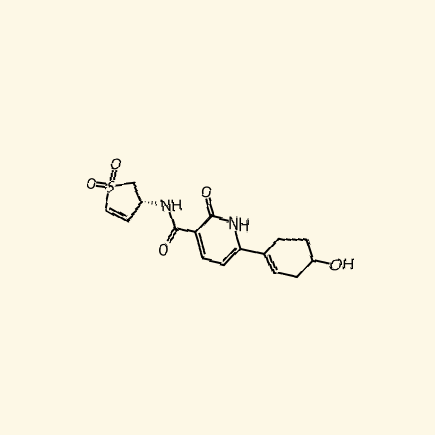 O=C(N[C@@H]1C=CS(=O)(=O)C1)c1ccc(C2=CCC(O)CC2)[nH]c1=O